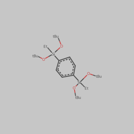 CC[Si](OC(C)(C)C)(OC(C)(C)C)c1ccc([Si](CC)(OC(C)(C)C)OC(C)(C)C)cc1